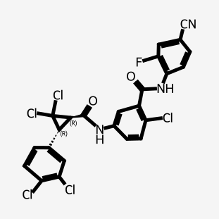 N#Cc1ccc(NC(=O)c2cc(NC(=O)[C@H]3[C@H](c4ccc(Cl)c(Cl)c4)C3(Cl)Cl)ccc2Cl)c(F)c1